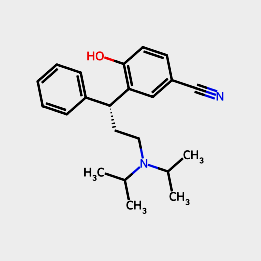 CC(C)N(CC[C@H](c1ccccc1)c1cc(C#N)ccc1O)C(C)C